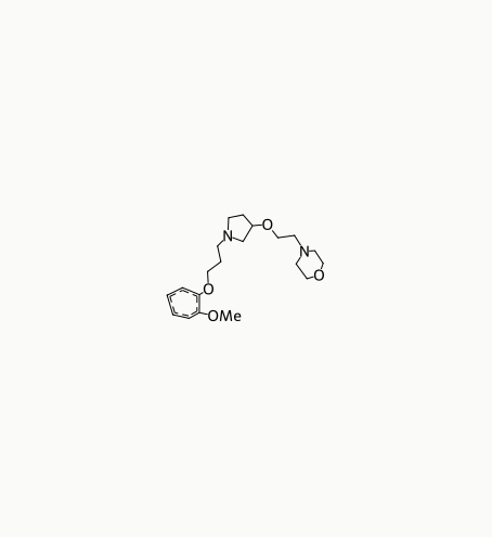 COc1ccccc1OCCCN1CCC(OCCN2CCOCC2)C1